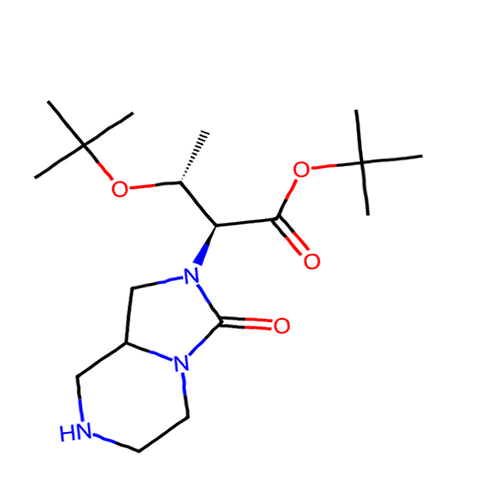 C[C@@H](OC(C)(C)C)[C@@H](C(=O)OC(C)(C)C)N1CC2CNCCN2C1=O